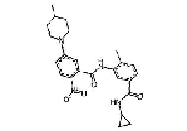 Cc1ccc(C(=O)NC2CC2)cc1NC(=O)c1cc(N2CCC(C)CC2)ccc1[N+](=O)[O-]